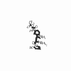 N#CC1CCCN1C(=O)C(N)Cc1c[nH]c2ccc(NC(=O)COC(=O)C(F)(F)F)cc12